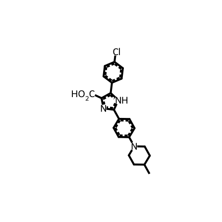 CC1CCN(c2ccc(-c3nc(C(=O)O)c(-c4ccc(Cl)cc4)[nH]3)cc2)CC1